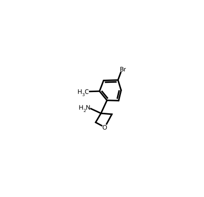 Cc1cc(Br)ccc1C1(N)COC1